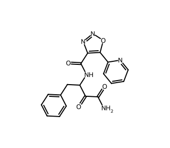 NC(=O)C(=O)C(Cc1ccccc1)NC(=O)c1nnoc1-c1ccccn1